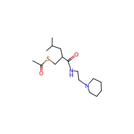 CC(=O)SCC(CC(C)C)C(=O)NCCN1CCCCC1